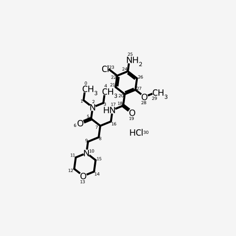 CCN(CC)C(=O)C(CCN1CCOCC1)CNC(=O)c1cc(Cl)c(N)cc1OC.Cl